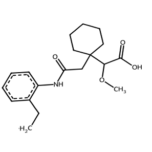 [CH2]Cc1ccccc1NC(=O)CC1(C(OC)C(=O)O)CCCCC1